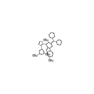 CC(C)(C)c1cc(C2=C(c3c(C(C)(C)C)c(=C(c4ccccc4)c4ccccc4)cc4c3=[C]c3cc(C(C)(C)C)ccc3-4)CC=C2)cc(C(C)(C)C)c1